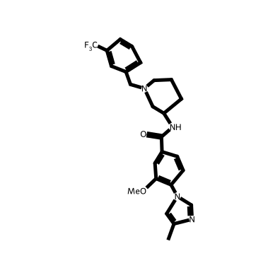 COc1cc(C(=O)NC2CCCN(Cc3cccc(C(F)(F)F)c3)C2)ccc1-n1cnc(C)c1